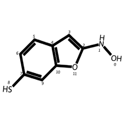 ONc1cc2ccc(S)cc2o1